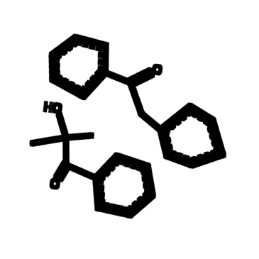 CC(C)(O)C(=O)c1ccccc1.O=C(Cc1ccccc1)c1ccccc1